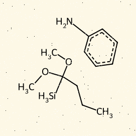 CCCC([SiH3])(OC)OC.Nc1ccccc1